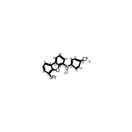 CC(C)c1cccc2c1oc1c(N(I)c3ccc(C(F)(F)F)cc3)cccc12